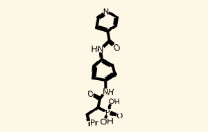 CC(C)CC(C(=O)Nc1ccc(NC(=O)c2ccncc2)cc1)P(=O)(O)O